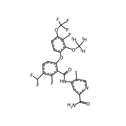 [2H]C([2H])([2H])Oc1c(Oc2ccc(C(F)F)c(F)c2C(=O)Nc2cc(C(N)=O)ncc2C)ccc(OC(F)(F)F)c1F